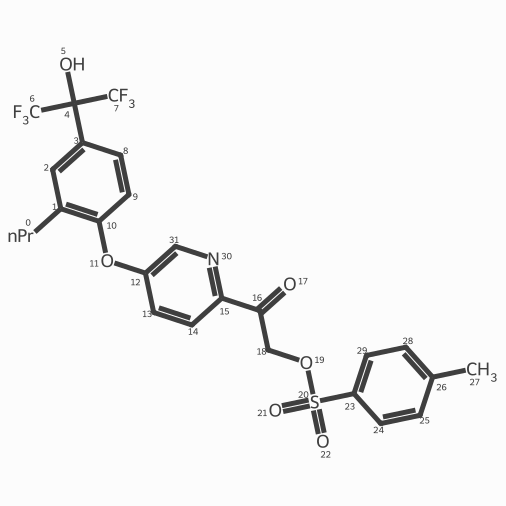 CCCc1cc(C(O)(C(F)(F)F)C(F)(F)F)ccc1Oc1ccc(C(=O)COS(=O)(=O)c2ccc(C)cc2)nc1